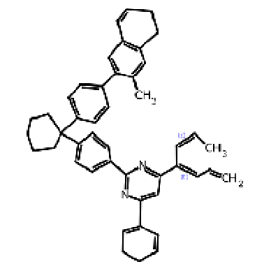 C=C/C=C(\C=C/C)c1cc(C2=CCCC=C2)nc(-c2ccc(C3(c4ccc(-c5cc6c(cc5C)CCC=C6)cc4)CCCCC3)cc2)n1